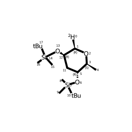 [2H][C@H]1O[C@@H](C)[C@H](O[Si](C)(C)C(C)(C)C)C[C@H]1O[Si](C)(C)C(C)(C)C